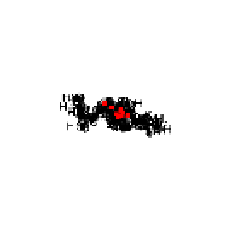 CCNC(=O)C(CCC(=O)O)NC(=O)[C@H](CC(C)CN)NC(=O)[C@H](Cc1ccc(O)cc1)NC(=O)[C@H](CO)NC(=O)[C@H](CO)NC(=O)[C@H](C)NC(=O)[C@H](CC(=O)O)NC(=O)[C@H](CO)NC(=O)C(NC(=O)[C@H](Cc1ccccc1)NC(=O)C(NC(=O)CNC(=O)[C@H](CCC(=O)O)NC(=O)C(C)(C)NC(=O)C(N)Cc1c[nH]cn1)[C@@H](C)O)[C@@H](C)O